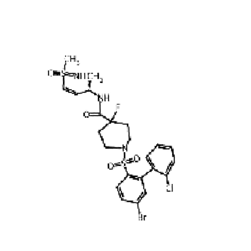 C[C@H](/C=C\S(C)(=N)=O)NC(=O)C1(F)CCN(S(=O)(=O)c2ccc(Br)cc2-c2ccccc2Cl)CC1